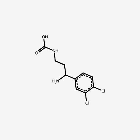 NC(CCNC(=O)O)c1ccc(Cl)c(Cl)c1